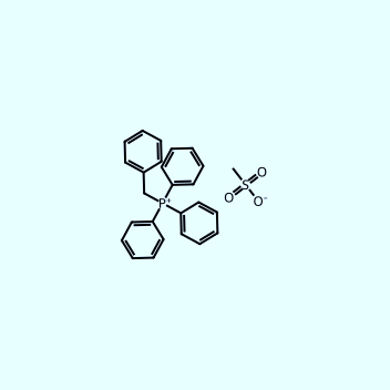 CS(=O)(=O)[O-].c1ccc(C[P+](c2ccccc2)(c2ccccc2)c2ccccc2)cc1